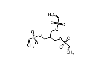 C=CS(=O)(=O)OCC(COS(=O)(=O)C=C)COS(=O)(=O)C=C